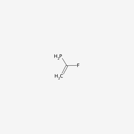 C=C(F)P